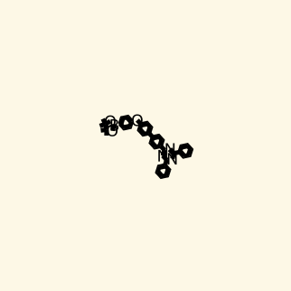 CC1(C)OB(c2ccc(Oc3ccc(-c4ccc(-c5nc(-c6ccccc6)nc(-c6ccccc6)n5)cc4)cc3)cc2)OC1(C)C